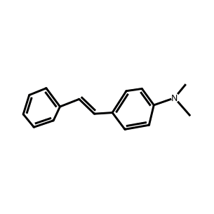 CN(C)c1ccc(C=Cc2ccccc2)cc1